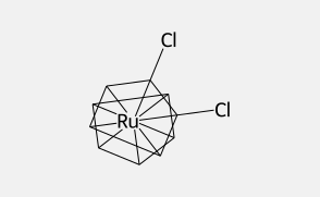 Cl[C]12[CH]3[CH]4[CH]5[C]1(Cl)[Ru]43521678[CH]2[CH]1[CH]6[CH]7[CH]28